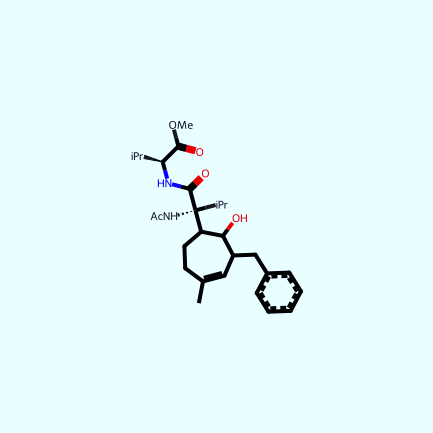 COC(=O)[C@@H](NC(=O)[C@@](NC(C)=O)(C(C)C)C1CCC(C)=CC(Cc2ccccc2)C1O)C(C)C